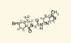 Cn1ncc2nc(NC(=O)CN3CC4(CC4)c4cc(Br)ccc4C3=O)ccc21